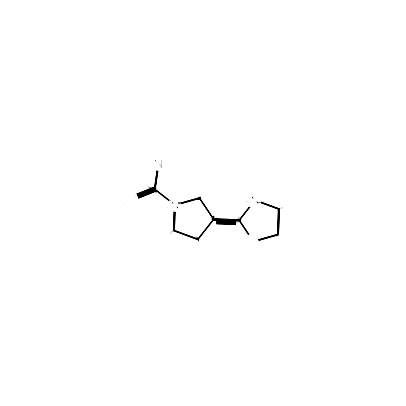 NC(=O)N1CCC(=C2NCCS2)C1